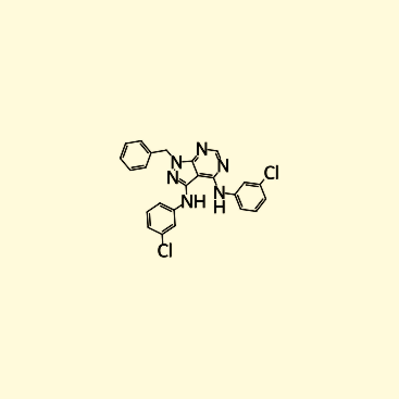 Clc1cccc(Nc2ncnc3c2c(Nc2cccc(Cl)c2)nn3Cc2ccccc2)c1